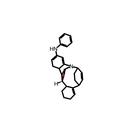 C1=C[C@@H]2C3CCCC=C3C3C=CC(CC3)N3C4=CC(Nc5ccccc5)=CCC4C2C3=C1